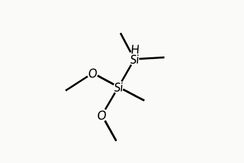 CO[Si](C)(OC)[SiH](C)C